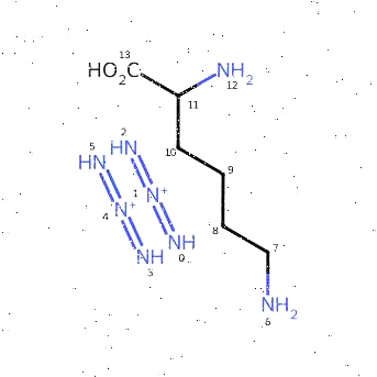 N=[N+]=N.N=[N+]=N.NCCCCC(N)C(=O)O